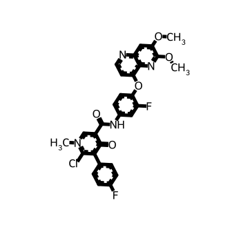 COc1cc2nccc(Oc3ccc(NC(=O)c4cn(C)c(Cl)c(-c5ccc(F)cc5)c4=O)cc3F)c2nc1OC